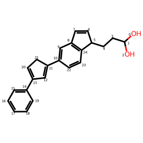 OC(O)CCC1C=Cc2cc(C3=CC(c4ccccc4)=CC3)ccc21